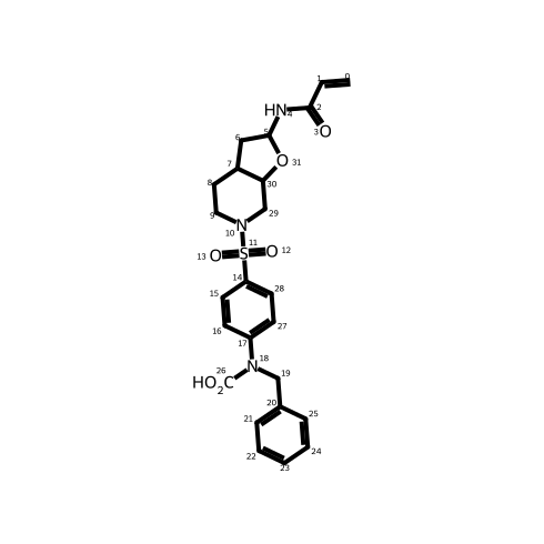 C=CC(=O)NC1CC2CCN(S(=O)(=O)c3ccc(N(Cc4ccccc4)C(=O)O)cc3)CC2O1